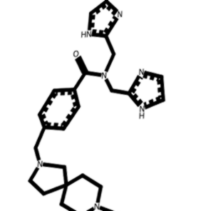 CC(=O)N1CCC2(CCN(Cc3ccc(C(=O)N(Cc4ncc[nH]4)Cc4ncc[nH]4)cc3)C2)CC1